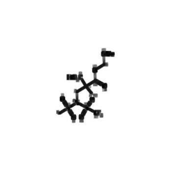 CCOC(=O)C(C)(CN(S(C)(=O)=O)S(=O)(=O)C(F)(F)F)C(=O)OCOC